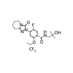 C[C@H](Oc1cc(-n2nc3n(c2=O)CCCC3)c(F)cc1C(=O)NCC(C)(C)O)C(F)(F)F